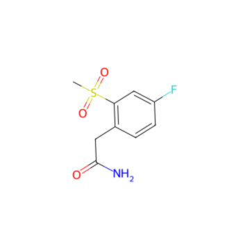 CS(=O)(=O)c1cc(F)ccc1CC(N)=O